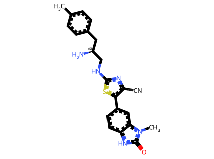 Cc1ccc(C[C@H](N)CNc2nc(C#N)c(-c3ccc4[nH]c(=O)n(C)c4c3)s2)cc1